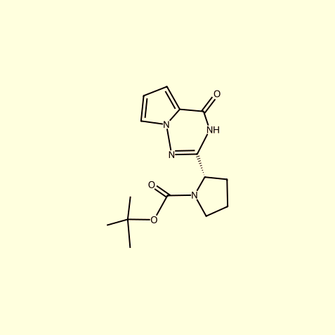 CC(C)(C)OC(=O)N1CCC[C@H]1c1nn2cccc2c(=O)[nH]1